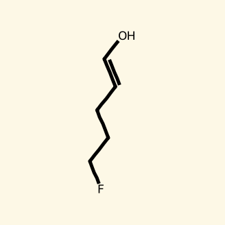 OC=CCCCF